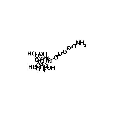 NCCOCCOCCOCCOCCOCCc1cn(CCOC2c3c(O)cc(O)cc3OC(c3cc(O)c(O)c(O)c3)C2OC(=O)c2ccc(O)c(F)c2)nn1